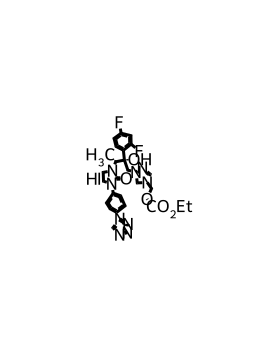 CCOC(=O)OCN1C=NN(C[C@](O)(c2ccc(F)cc2F)[C@@H](C)N2CCN(c3ccc(-n4cnnn4)cc3)C2=O)C1.I